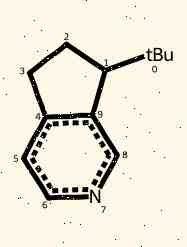 CC(C)(C)C1CCc2ccncc21